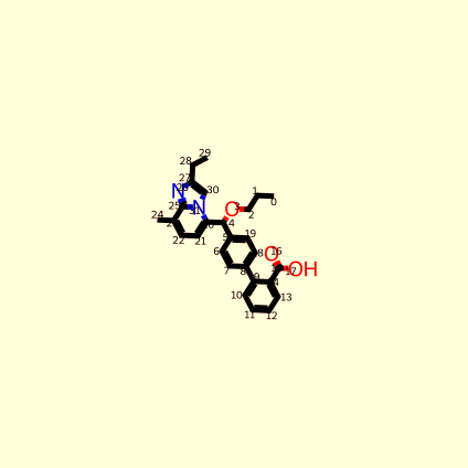 CCCOC(c1ccc(-c2ccccc2C(=O)O)cc1)c1ccc(C)c2nc(CC)cn12